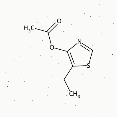 CCc1scnc1OC(C)=O